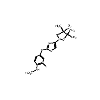 CC1(C)OB(c2csc(Oc3ccc(NC(=O)O)c(F)c3)n2)OC1(C)C